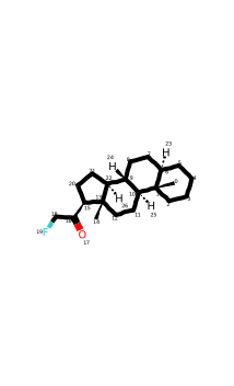 C[C@]12CCCC[C@@H]1CC[C@@H]1[C@@H]2CC[C@]2(C)[C@@H](C(=O)CF)CC[C@@H]12